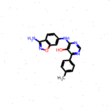 Cc1ccc(-c2ncnc(Nc3ccc4c(N)noc4c3)c2O)cc1